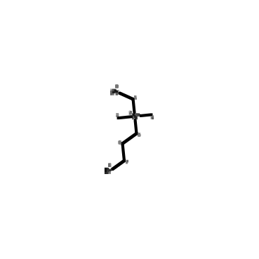 CC(C)C[N+](C)(C)CCCBr